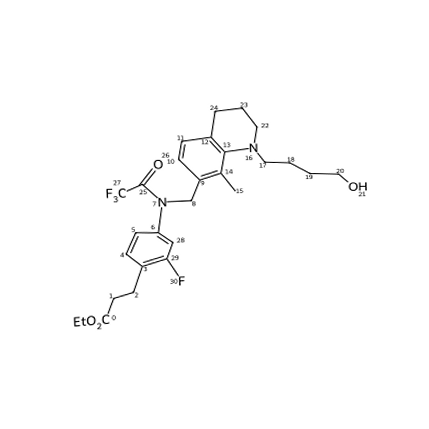 CCOC(=O)CCc1ccc(N(Cc2ccc3c(c2C)N(CCCCO)CCC3)C(=O)C(F)(F)F)cc1F